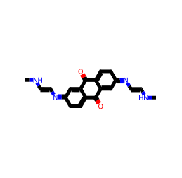 CNC=CN=C1C=C2C(=O)C3=CCC(=NC=CNC)C=C3C(=O)C2=CC1